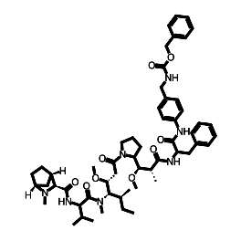 CC[C@H](C)[C@@H]([C@@H](CC(=O)N1CCCC1[C@H](OC)[C@@H](C)C(=O)NC(Cc1ccccc1)C(=O)Nc1ccc(CNC(=O)OCc2ccccc2)cc1)OC)N(C)C(=O)C(NC(=O)[C@@H]1[C@H]2CC[C@H](C2)N1C)C(C)C